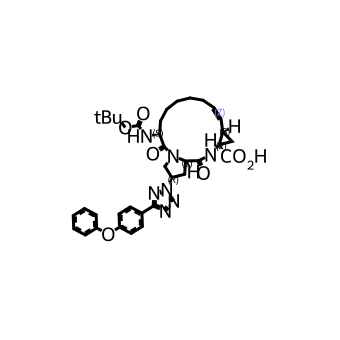 CC(C)(C)OC(=O)N[C@H]1CCCCC/C=C\[C@@H]2C[C@@]2(C(=O)O)NC(=O)[C@@H]2C[C@@H](n3nnc(-c4ccc(Oc5ccccc5)cc4)n3)CN2C1=O